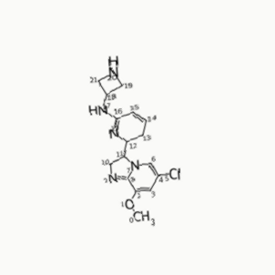 COC1=CC(Cl)=CN2C1=NCC2C1CC=CC(NC2CNC2)=N1